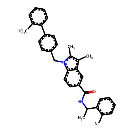 Cc1c(C)n(Cc2ccc(-c3ccccc3C(=O)O)cc2)c2ccc(C(=O)NC(C)c3ccccc3C#N)cc12